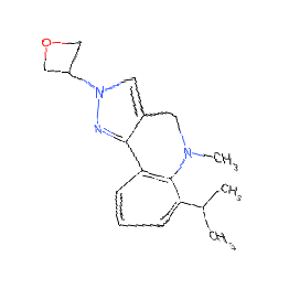 CC(C)c1cccc2c1N(C)Cc1cn(C3COC3)nc1-2